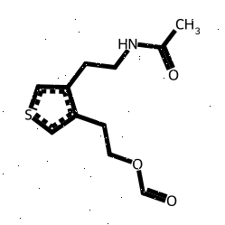 CC(=O)NCCc1cscc1CCOC=O